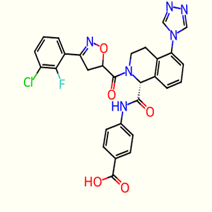 O=C(O)c1ccc(NC(=O)[C@H]2c3cccc(-n4cnnc4)c3CCN2C(=O)C2CC(c3cccc(Cl)c3F)=NO2)cc1